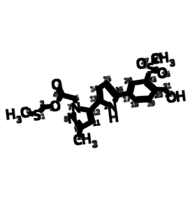 CSCOC(=O)Cn1nc(C)cc1-c1ccc(-c2ccc(CO)c(S(C)(=O)=O)c2)[nH]1